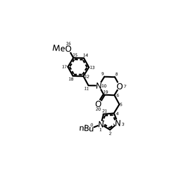 CCCCn1cnc(CC2OCCN(Cc3ccc(OC)cc3)C2=O)c1